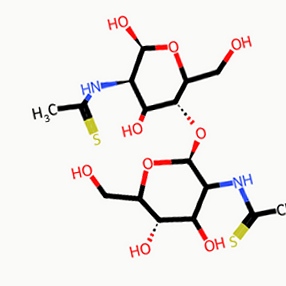 CC(=S)NC1C(O)[C@H](O)C(CO)O[C@H]1O[C@H]1C(CO)O[C@H](O)[C@H](NC(C)=S)C1O